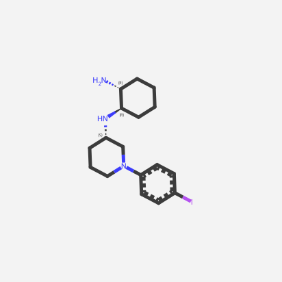 N[C@@H]1CCCC[C@H]1N[C@H]1CCCN(c2ccc(I)cc2)C1